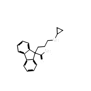 NC(=O)C1(CCCNC2CC2)c2ccccc2-c2ccccc21